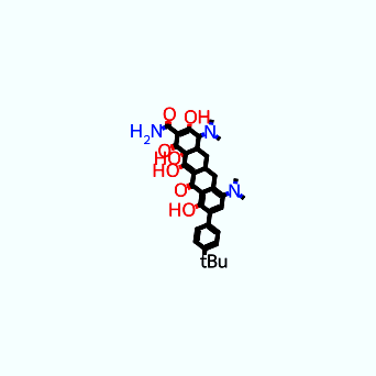 CN(C)c1cc(-c2ccc(C(C)(C)C)cc2)c(O)c2c1CC1CC3C(N(C)C)C(O)=C(C(N)=O)C(=O)C3(O)C(O)=C1C2=O